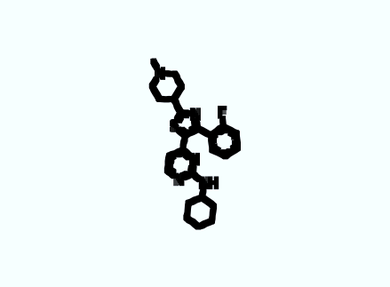 CN1CCC(c2nc(-c3ccccc3F)c(-c3ccnc(NC4CCCCC4)n3)s2)CC1